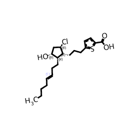 CCCC/C=C/CC[C@@H]1[C@@H](CCCc2ccc(C(=O)O)s2)[C@H](Cl)C[C@H]1O